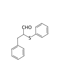 O=CC(Cc1ccccc1)Sc1ccccc1